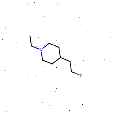 CCN1CCC(CCCl)CC1